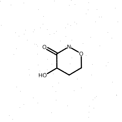 O=C1[N]OCCC1O